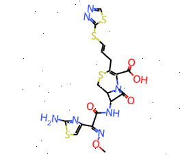 CON=C(C(=O)NC1C(=O)N2C(C(=O)O)=C(CC=CSc3nncs3)SCC12)c1csc(N)n1